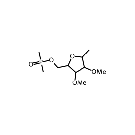 COC1C(C)OC(COP(C)(C)=O)C1OC